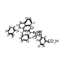 O=C(NCC(=O)N(Cc1ccccc1)[C@@H]1c2ccccc2CC[C@H]1Cc1ccccc1F)Nc1cccc(C(=O)O)c1